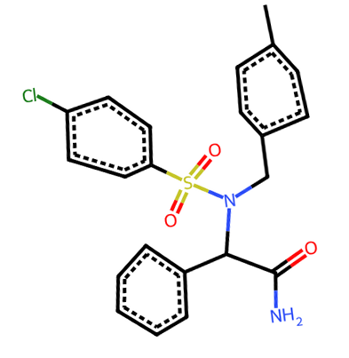 Cc1ccc(CN(C(C(N)=O)c2ccccc2)S(=O)(=O)c2ccc(Cl)cc2)cc1